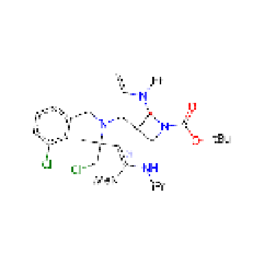 C=CN(CC)CC1(CN(Cc2cccc(Cl)c2)C(C)(/C=C(\NC)NC(C)C)CCl)CN(C(=O)OC(C)(C)C)C1